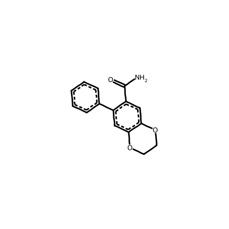 NC(=O)c1cc2c(cc1-c1ccccc1)OCCO2